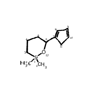 C[Si]1(C)CCCC(C2=CC=CC2)O1